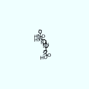 O=C(O)c1cc(-c2cnc3ccc(N(S)C(=O)NC4CCCC4)nc3n2)cs1